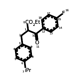 CCOC(=O)C(Cc1ccc(C(C)C)cc1)C(=O)c1ccc(F)cc1